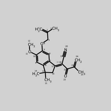 C=C(C)COc1cc2c(cc1OC)C(C)(C)C/C2=C(/C#N)C(=O)C(=C)C